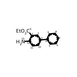 CCOC(=O)c1cc(-c2ccccc2)ccc1N